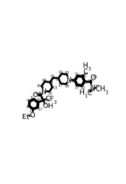 CCOc1cccc(C(O)(C(=O)N2CCC(CC3CCN(c4ccc(C(=O)N(C)C)c(C)c4)CC3)CC2)C(F)(F)F)c1